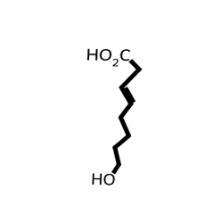 O=C(O)CC=CCCCCO